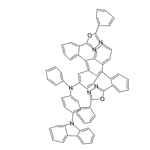 c1ccc(-c2nnc(-c3ccccc3-c3c4ccccc4c(-c4ccccc4-c4nnc(-c5ccccc5)o4)c4cc(N(c5ccccc5)c5ccc(-n6c7ccccc7c7ccccc76)cc5)ccc34)o2)cc1